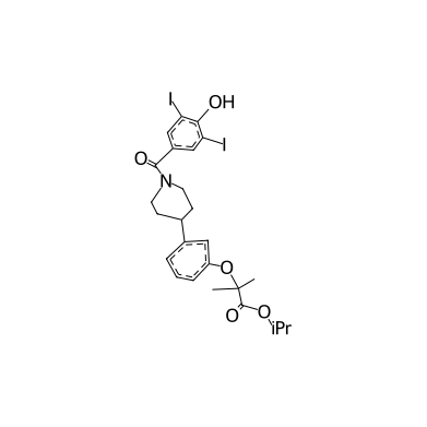 CC(C)OC(=O)C(C)(C)Oc1cccc(C2CCN(C(=O)c3cc(I)c(O)c(I)c3)CC2)c1